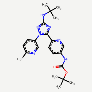 Cc1ccc(-n2nc(NC(C)(C)C)nc2-c2ccc(NC(=O)OC(C)(C)C)cn2)cn1